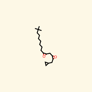 CC(C)(C)CCCCCCCC1OC1CC1OC1CC1CC1